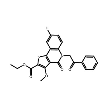 CCOC(=O)c1sc2c(c1OC)c(=O)n(CC(=O)c1ccccc1)c1ccc(F)cc21